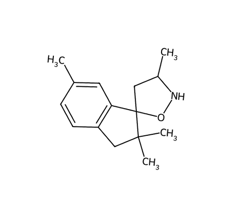 Cc1ccc2c(c1)C1(CC(C)NO1)C(C)(C)C2